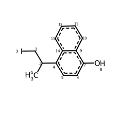 CC(CI)c1ccc(O)c2ccccc12